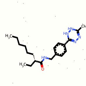 CCCCCC[C@@H](CC)C(=O)NCc1ccc(C2=NN=C(C)NN2)cc1